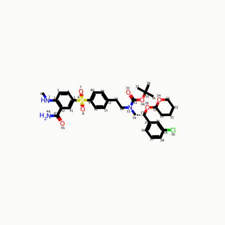 CNc1ccc(S(=O)(=O)c2ccc(CCN(C[C@H](OC3CCCCO3)c3cccc(Cl)c3)C(=O)OC(C)(C)C)cc2)cc1C(N)=O